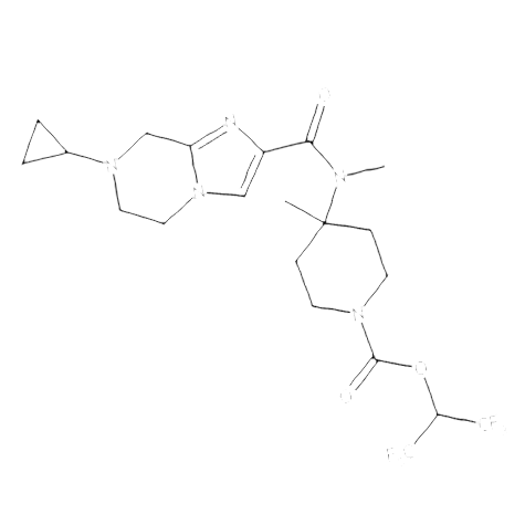 CN(C(=O)c1cn2c(n1)CN(C1CC1)CC2)C1(C)CCN(C(=O)OC(C(F)(F)F)C(F)(F)F)CC1